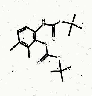 Cc1ccc(NC(=O)OC(C)(C)C)c(NC(=O)OC(C)(C)C)c1C